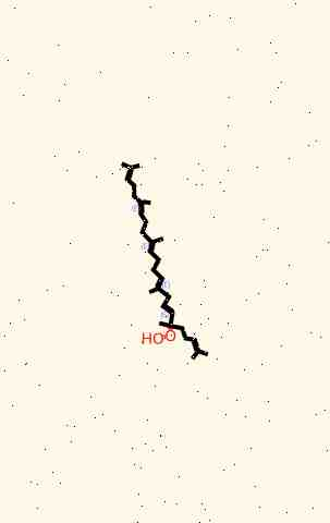 CC(C)=CCC/C(C)=C/CC/C(C)=C/CC/C=C(\C)C/C=C/C(C)(CCC=C(C)C)OO